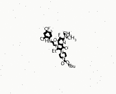 CCc1c(N2CCN(C(=O)OC(C)(C)C)CC2)c(=O)c2nc(N(C)C)c(F)cc2n1CC(=O)Nc1ccc(C(F)(F)F)cc1Cl